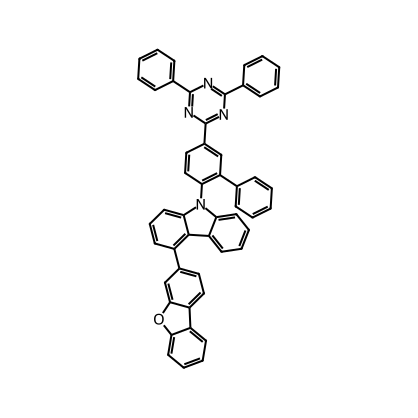 c1ccc(-c2nc(-c3ccccc3)nc(-c3ccc(-n4c5ccccc5c5c(-c6ccc7c(c6)oc6ccccc67)cccc54)c(-c4ccccc4)c3)n2)cc1